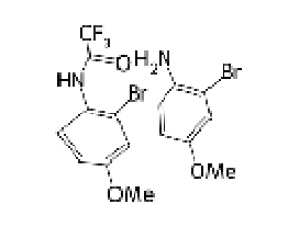 COc1ccc(N)c(Br)c1.COc1ccc(NC(=O)C(F)(F)F)c(Br)c1